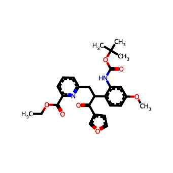 CCOC(=O)c1cccc(CC(C(=O)c2ccoc2)c2ccc(OC)cc2NC(=O)OC(C)(C)C)n1